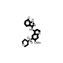 COc1cc2nccc(Nc3n[nH]c4c(Cl)cccc34)c2cc1S(=O)(=O)C1CCOCC1